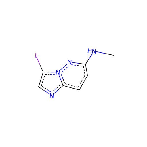 CNc1ccc2ncc(I)n2n1